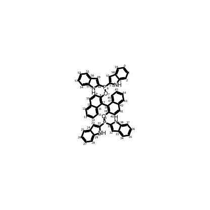 c1ccc2[nH]c(P(Oc3ccc4ccccc4c3-c3c(OP(c4cc5ccccc5[nH]4)c4cc5ccccc5[nH]4)ccc4ccccc34)c3cc4ccccc4[nH]3)cc2c1